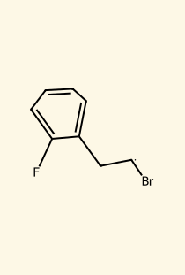 Fc1ccccc1C[CH]Br